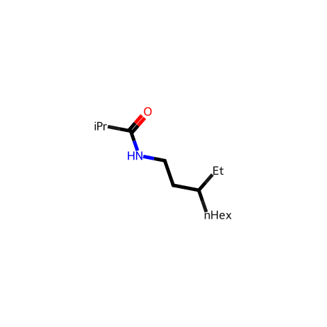 CCCCCCC(CC)CCNC(=O)C(C)C